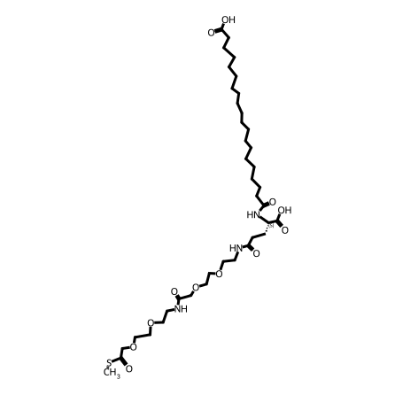 CSC(=O)COCCOCCNC(=O)COCCOCCNC(=O)CC[C@H](NC(=O)CCCCCCCCCCCCCCCCCCC(=O)O)C(=O)O